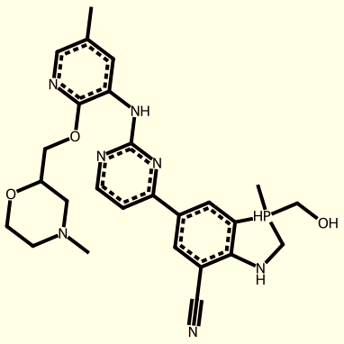 Cc1cnc(OCC2CN(C)CCO2)c(Nc2nccc(-c3cc(C#N)c4c(c3)[PH](C)(CO)CN4)n2)c1